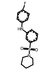 O=S(=O)(c1cc[c]c(Nc2ccc(F)cc2)c1)N1CCCCC1